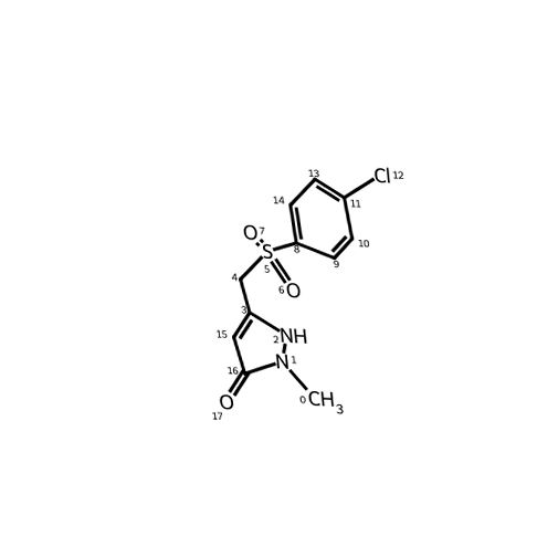 Cn1[nH]c(CS(=O)(=O)c2ccc(Cl)cc2)cc1=O